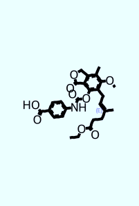 CCOC(=O)CC/C(C)=C/Cc1c(OC)c(C)c2c(c1OC(=O)Nc1ccc(C(=O)O)cc1)C(=O)OC2